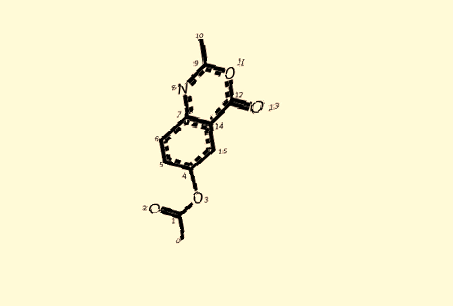 CC(=O)Oc1ccc2nc(C)oc(=O)c2c1